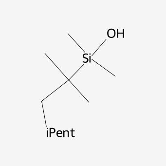 CCCC(C)CC(C)(C)[Si](C)(C)O